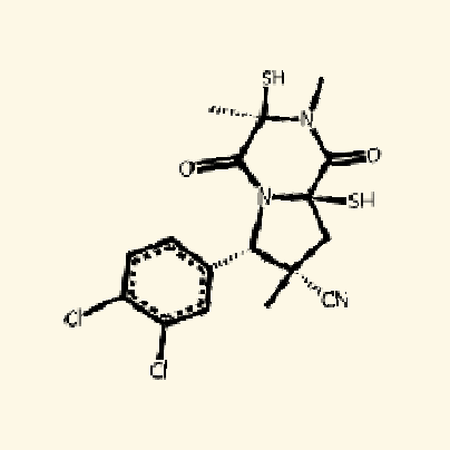 CN1C(=O)[C@]2(S)C[C@](C)(C#N)[C@H](c3ccc(Cl)c(Cl)c3)N2C(=O)[C@@]1(C)S